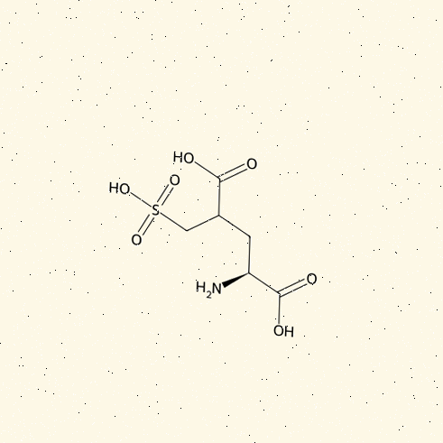 N[C@@H](CC(CS(=O)(=O)O)C(=O)O)C(=O)O